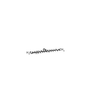 CCCCCCCCCCCCCCC(C[O])CCCCCCCCCCCCCC